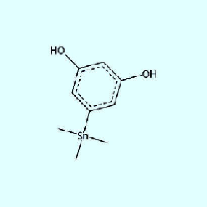 [CH3][Sn]([CH3])([CH3])[c]1cc(O)cc(O)c1